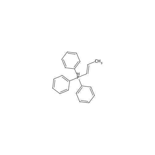 CC=C[PH](c1ccccc1)(c1ccccc1)c1ccccc1